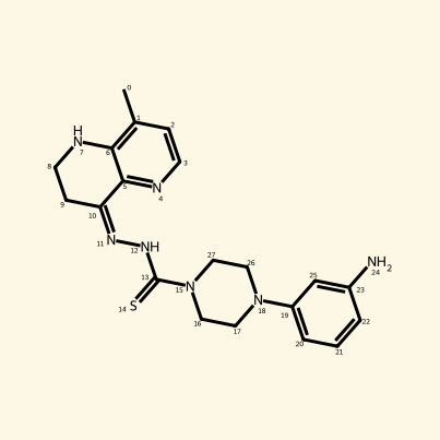 Cc1ccnc2c1NCC/C2=N/NC(=S)N1CCN(c2cccc(N)c2)CC1